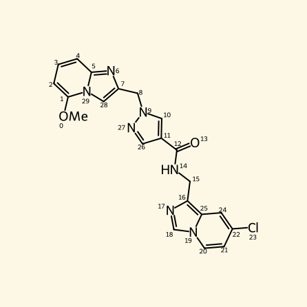 COc1cccc2nc(Cn3cc(C(=O)NCc4ncn5ccc(Cl)cc45)cn3)cn12